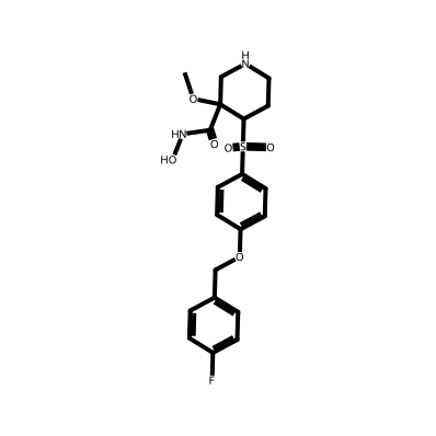 COC1(C(=O)NO)CNCCC1S(=O)(=O)c1ccc(OCc2ccc(F)cc2)cc1